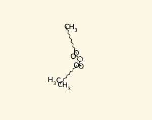 CCCCCCCCCCCCOC(=O)C1CCCC(C(=O)OCCCCCCCCCC(C)C)C1